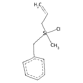 C=CC[Si](C)(Cl)Cc1ccccc1